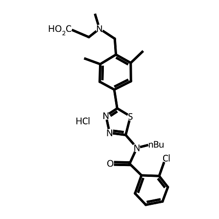 CCCCN(C(=O)c1ccccc1Cl)c1nnc(-c2cc(C)c(CN(C)CC(=O)O)c(C)c2)s1.Cl